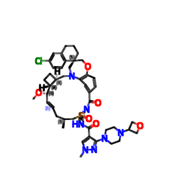 CO[C@H]1/C=C/C[C@H](C)C[S@@](=O)(NC(=O)c2cn(C)nc2N2CCN(C3COC3)CC2)=NC(=O)c2ccc3c(c2)N(C[C@@H]2CC[C@H]21)C[C@@]1(CCCc2cc(Cl)ccc21)CO3